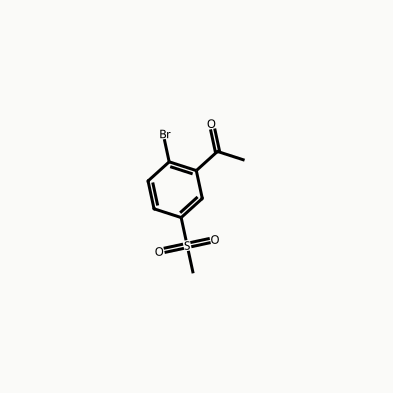 CC(=O)c1cc(S(C)(=O)=O)ccc1Br